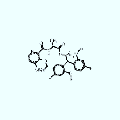 CCOc1cc(F)ccc1C(c1ccc(F)cc1OCC)[C@H](C)OC(=O)[C@H](C)NC(=O)c1nccc(OC)c1OCOC(C)=O